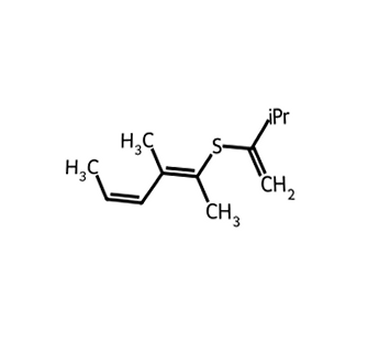 C=C(S/C(C)=C(C)/C=C\C)C(C)C